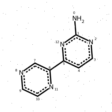 Nc1nccc(-c2cnccn2)n1